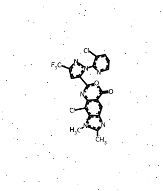 Cc1nc2cc3c(=O)oc(-c4cc(C(F)(F)F)nn4-c4ncccc4Cl)nc3c(Cl)c2n1C